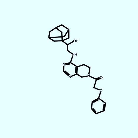 O=C(COc1ccccc1)N1CCc2c(ncnc2NCC(O)C23CC4CC(CC(C4)C2)C3)C1